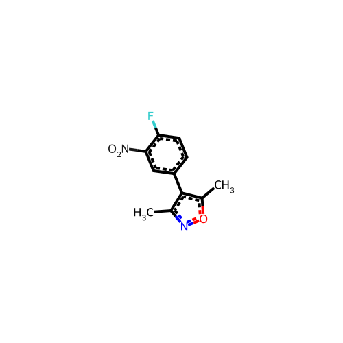 Cc1noc(C)c1-c1ccc(F)c([N+](=O)[O-])c1